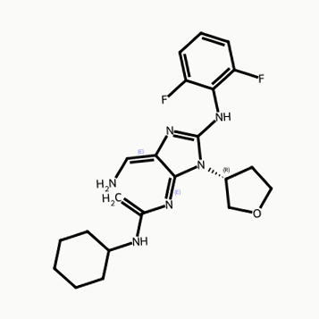 C=C(/N=C1\C(=C/N)N=C(Nc2c(F)cccc2F)N1[C@@H]1CCOC1)NC1CCCCC1